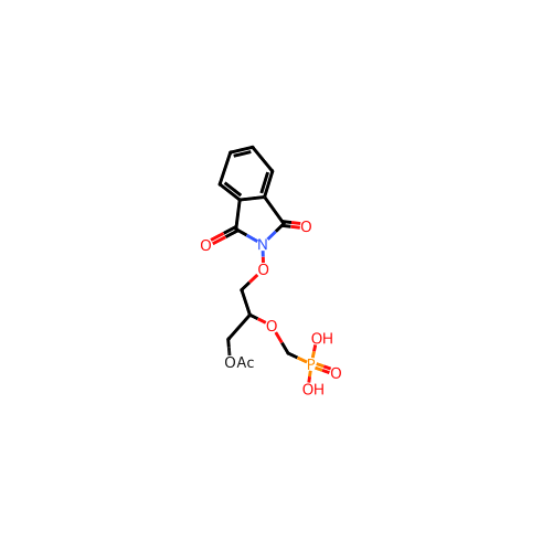 CC(=O)OCC(CON1C(=O)c2ccccc2C1=O)OCP(=O)(O)O